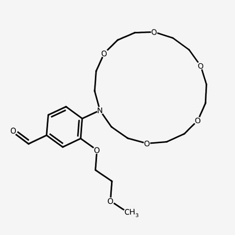 COCCOc1cc(C=O)ccc1N1CCOCCOCCOCCOCCOCC1